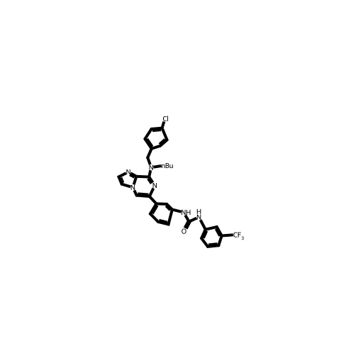 CCCCN(Cc1ccc(Cl)cc1)c1nc(-c2cccc(NC(=O)Nc3cccc(C(F)(F)F)c3)c2)cn2ccnc12